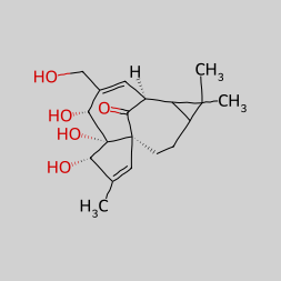 CC1=C[C@@]23CCC4C([C@H](C=C(CO)[C@@H](O)[C@]2(O)[C@H]1O)C3=O)C4(C)C